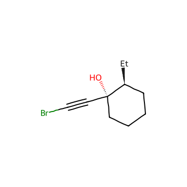 CC[C@H]1CCCC[C@@]1(O)C#CBr